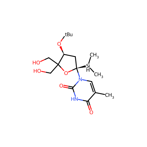 Cc1cn([C@@]2([SiH](C)C)C[C@H](OC(C)(C)C)C(CO)(CO)O2)c(=O)[nH]c1=O